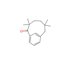 CC1(C)CCC(C)(C)C(=O)c2cccc(c2)C1